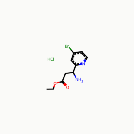 CCOC(=O)CC(N)c1cc(Br)ccn1.Cl